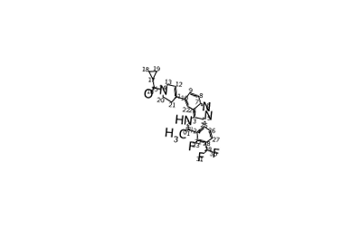 C[C@@H](Nc1cnnc2ccc(C3=CCN(C(=O)C4CC4)CC3)cc12)c1cccc(C(F)F)c1F